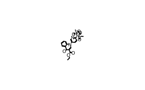 CCOC(=O)c1cn(-c2ccc(N(S(C)(=O)=O)S(C)(=O)=O)nc2)c2ccccc2c1=O